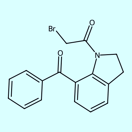 O=C(c1ccccc1)c1cccc2c1N(C(=O)CBr)CC2